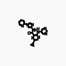 O=C(Nc1cn(-c2ccccn2)cn1)c1nc(C2CC2)cnc1Nc1cncnc1